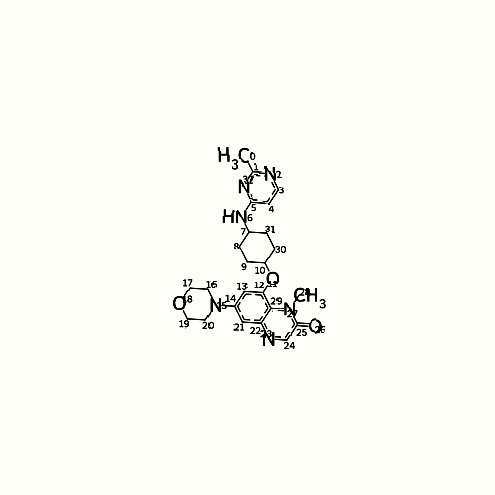 Cc1nccc(NC2CCC(Oc3cc(N4CCOCC4)cc4ncc(=O)n(C)c34)CC2)n1